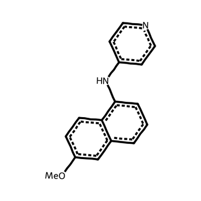 COc1ccc2c(Nc3ccncc3)cccc2c1